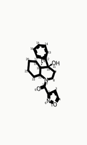 O=C(c1ccon1)N1CC[C@@](O)(c2ccccc2)[C@@H]2CCCCC21